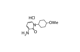 COC1CCC(n2cccc(N)c2=O)CC1.Cl